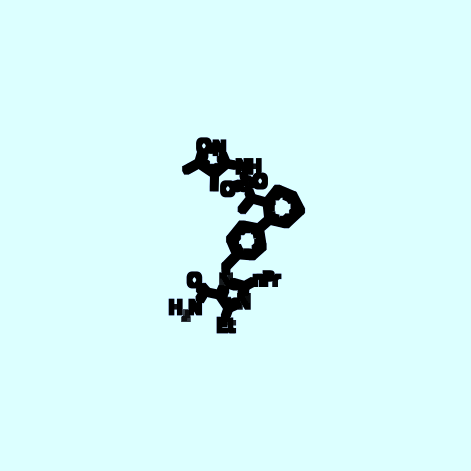 CCCc1nc(CC)c(C(N)=O)n1Cc1ccc(-c2ccccc2C(C)S(=O)(=O)Nc2noc(C)c2C)cc1